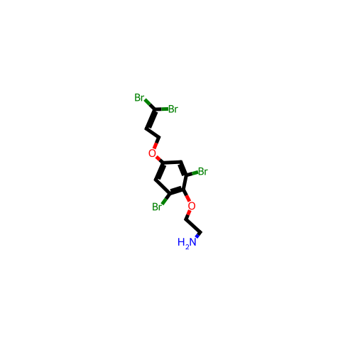 NCCOc1c(Br)cc(OCC=C(Br)Br)cc1Br